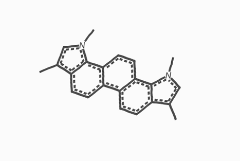 Cc1cn(C)c2c1ccc1c3ccc4c(C)cn(C)c4c3ccc12